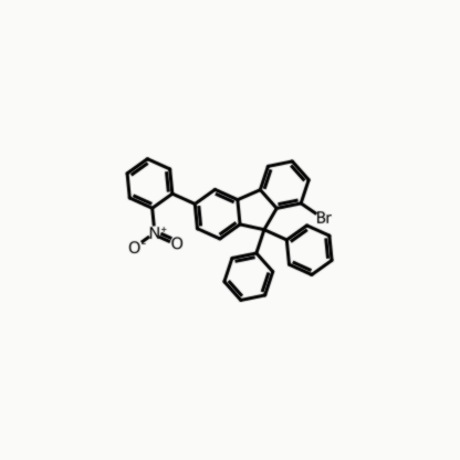 O=[N+]([O-])c1ccccc1-c1ccc2c(c1)-c1cccc(Br)c1C2(c1ccccc1)c1ccccc1